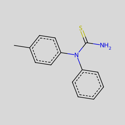 Cc1ccc(N(C(N)=S)c2ccccc2)cc1